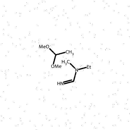 CCN(C)C=N.COC(C)OC